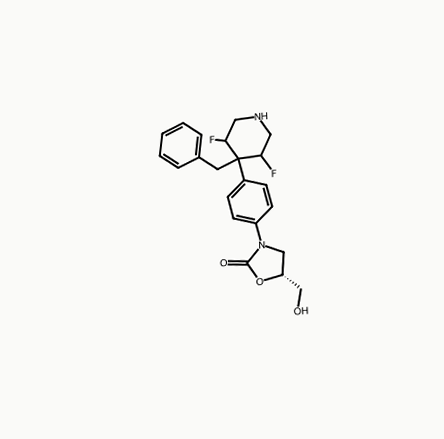 O=C1O[C@@H](CO)CN1c1ccc(C2(Cc3ccccc3)C(F)CNCC2F)cc1